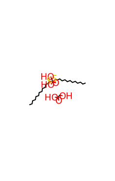 CCCCCCCCCCCCSC(O)(SCCCCCCCCCCCC)C(=O)O.O=C(O)CO